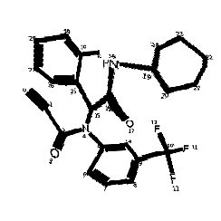 C#CC(=O)N(c1cccc(C(F)(F)F)c1)C(C(=O)NC1CCCCC1)c1ccccc1C